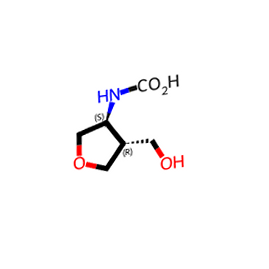 O=C(O)N[C@@H]1COC[C@H]1CO